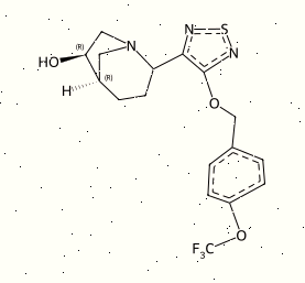 O[C@H]1CN2C[C@H]1CCC2c1nsnc1OCc1ccc(OC(F)(F)F)cc1